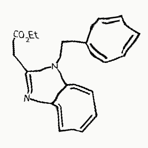 CCOC(=O)Cc1nc2ccccc2n1Cc1ccccc1